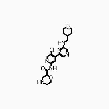 O=C(Nc1cc(-c2cncc(NCC3CCOCC3)n2)c(Cl)cn1)C1CNCCO1